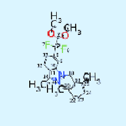 COC(OC)C(F)(F)C1=CC2C(C=C1)C(C)=NN2Cc1c(C)cccc1C